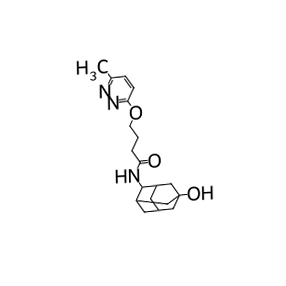 Cc1ccc(OCCCC(=O)NC2C3CC4CC2CC(O)(C4)C3)nn1